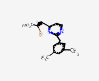 O=C(O)/C(Br)=C/c1ccnc(-c2cc(C(F)(F)F)cc(C(F)(F)F)c2)n1